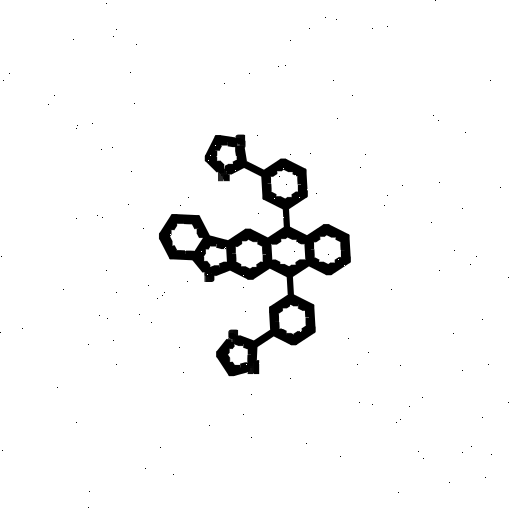 c1cc(-c2nccs2)cc(-c2c3ccccc3c(-c3cccc(-c4nccs4)c3)c3cc4c(cc23)sc2ccccc24)c1